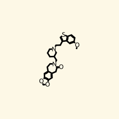 COc1ccc2scc(CCN3CCCC(CN4CCc5cc6c(cc5CC4=O)OCO6)C3)c2c1